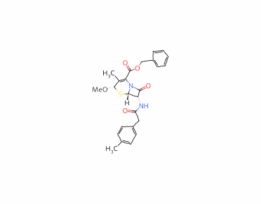 CO[C@H]1S[C@H]2[C@@H](NC(=O)Cc3ccc(C)cc3)C(=O)N2C(C(=O)OCc2ccccc2)=C1C